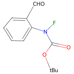 CC(C)(C)OC(=O)N(F)c1ccccc1C=O